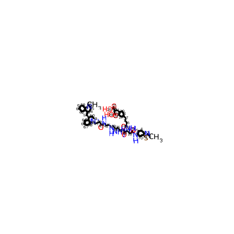 Cc1nc2ccc(NC(=O)CC(NC(=O)CCCc3ccc(CC(C(=O)O)C(=O)O)cc3)C(=O)NCC/C(N)=C/NCCNC(=O)CC[n+]3ccc(/C=C4\C=CN(C)c5ccccc54)c4ccccc43)cc2s1